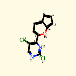 Clc1ncc(Cl)c(-c2ccc3cccc-3o2)n1